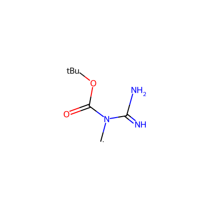 [CH2]N(C(=N)N)C(=O)OC(C)(C)C